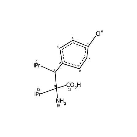 CC(C)C(c1ccc(Cl)cc1)C(N)(C(=O)O)C(C)C